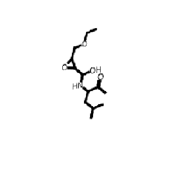 CCOCC1OC1C(O)NC(CC(C)C)C(C)=O